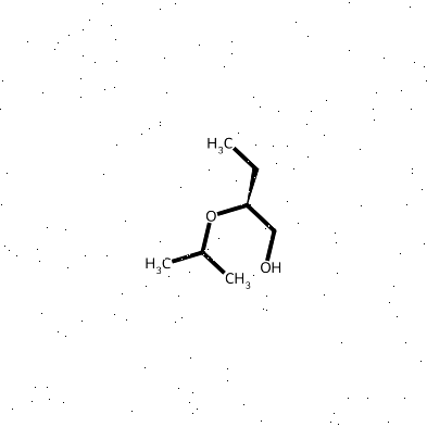 CC[C@@H](CO)OC(C)C